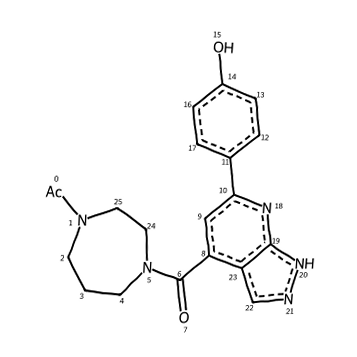 CC(=O)N1CCCN(C(=O)c2cc(-c3ccc(O)cc3)nc3[nH]ncc23)CC1